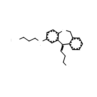 CCCCOc1ccc2c(c1)/C(=C/CCBr)c1ccccc1CO2